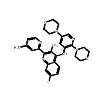 Cc1ccnc(-c2nc3cc(F)ccc3c(Nc3cc(N4CCOCC4)cnc3N3CCOCC3)c2C)c1